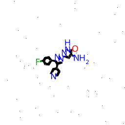 Nc1cc(-n2cc(-c3ccncc3)c(-c3ccc(F)cc3)n2)n[nH]c1=O